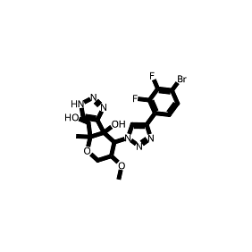 COC1COC(C)(CO)C(O)(c2c[nH]nn2)C1n1cc(-c2ccc(Br)c(F)c2F)nn1